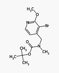 COc1nccc(CN(C)C(=O)OC(C)(C)C)c1Br